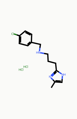 Cc1c[nH]c(CCCNCc2ccc(Cl)cc2)n1.Cl.Cl